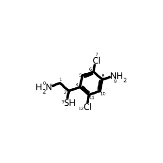 NCC(S)c1cc(Cl)c(N)cc1Cl